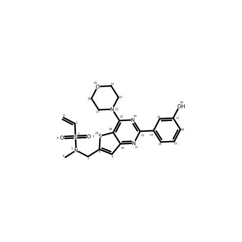 C=CS(=O)(=O)N(C)Cc1cc2nc(-c3cccc(O)c3)nc(N3CCOCC3)c2s1